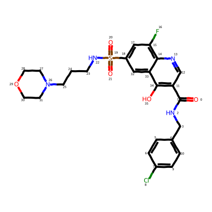 O=C(NCc1ccc(Cl)cc1)c1cnc2c(F)cc(S(=O)(=O)NCCCN3CCOCC3)cc2c1O